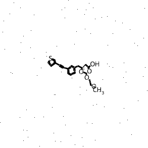 COCCOCO[C@H](CC(=O)O)Cc1cccc(C#Cc2ccsc2)c1